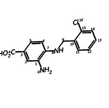 Nc1cc(C(=O)O)ccc1NCc1ccccc1Cl